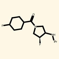 CC(C)NC1CN(C(=O)C2CCC(F)CC2)C[C@@H]1F